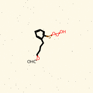 O=COCCCCc1ccccc1SOOO